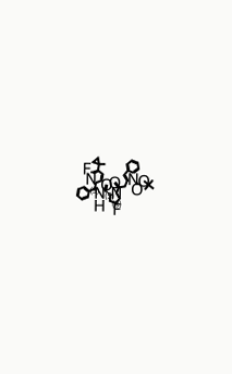 CC(C)(C)OC(=O)n1c(CC(=O)N2C[C@H](F)C[C@H]2C(=O)N[C@@H](c2ccccc2)c2ccc(C3(C)CC3)c(F)n2)cc2ccccc21